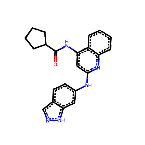 O=C(Nc1cc(Nc2ccc3cn[nH]c3c2)nc2ccccc12)C1CCCC1